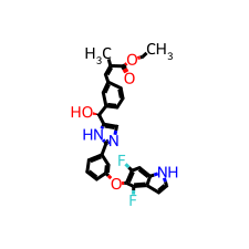 CCOC(=O)C(C)=Cc1cccc([C@H](O)c2cnc(-c3cccc(Oc4c(F)cc5[nH]ccc5c4F)c3)[nH]2)c1